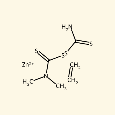 C=C.CN(C)C(=S)[S-].NC(=S)[S-].[Zn+2]